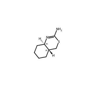 NC1=N[C@@H]2CCCC[C@H]2CS1